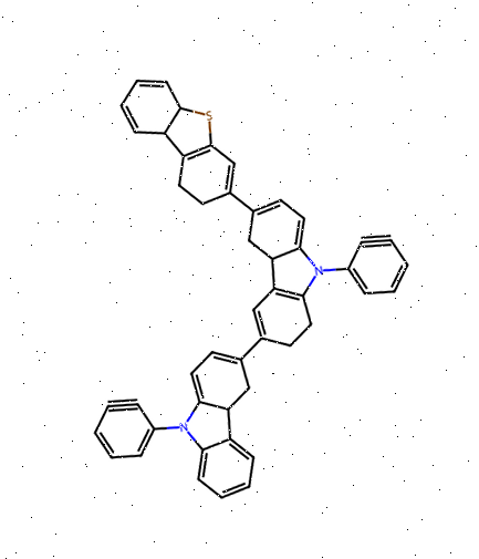 c1cccc(N2C3=CC=C(C4=CC5=C(CC4)C4C=CC=CC4S5)CC3C3=C2CCC(C2=CC=C4C(C2)c2ccccc2N4c2c#cccc2)=C3)c#1